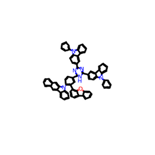 c1ccc(-n2c3ccccc3c3cc(C4=NC(c5ccc(-n6c7ccccc7c7cc8ccccc8cc76)c(-c6cccc7c6oc6ccccc67)c5)NC(c5ccc6c(c5)c5ccccc5n6-c5ccccc5)=N4)ccc32)cc1